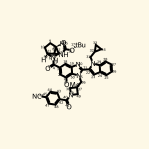 COc1cc(C(=O)N2C[C@H]3CC[C@@H]2[C@@H]3NC(=O)OC(C)(C)C)cc2nc(-c3cc4ccccc4n3CC3CC3)n(CC3CN(C(=O)c4ccc(C#N)cc4)C3)c12